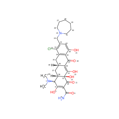 CN(C)[C@@H]1C(O)=C(C(N)=O)C(=O)[C@@]2(O)C(O)=C3C(=O)c4c(O)cc(CN5CCCCCC5)c(Cl)c4C[C@H]3C[C@@H]12